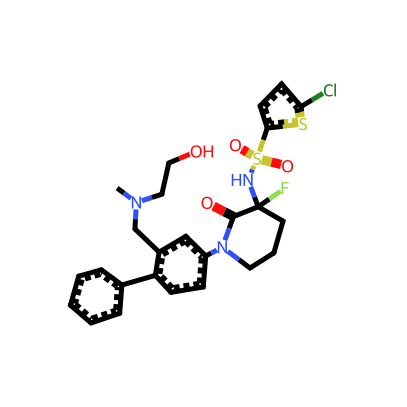 CN(CCO)Cc1cc(N2CCCC(F)(NS(=O)(=O)c3ccc(Cl)s3)C2=O)ccc1-c1ccccc1